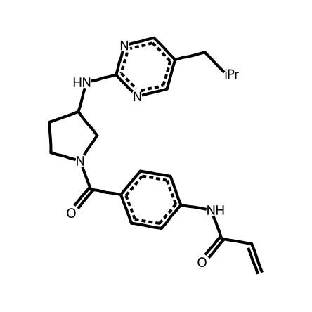 C=CC(=O)Nc1ccc(C(=O)N2CCC(Nc3ncc(CC(C)C)cn3)C2)cc1